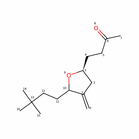 C=C1C[C@H](CCC(C)=O)OC1CCC(C)(C)C